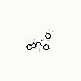 O=C(Nc1ccc2c(c1)OCO2)[C@H]1C(c2ccc(Cl)c(Cl)c2)OC2(C(=O)c3ccccc3[C@H]2O)[C@H]1C(=O)O